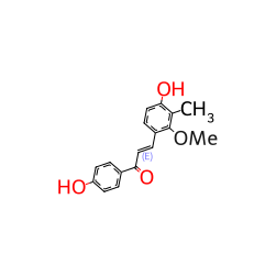 COc1c(/C=C/C(=O)c2ccc(O)cc2)ccc(O)c1C